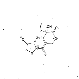 CC[C@@]1(O)C(=O)OCc2c1cc1n(c2=S)CCC1=O